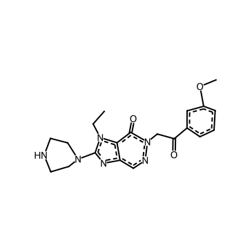 CCn1c(N2CCNCC2)nc2cnn(CC(=O)c3cccc(OC)c3)c(=O)c21